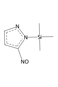 C[Si](C)(C)n1nccc1N=O